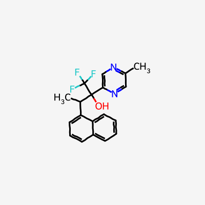 Cc1cnc(C(O)(C(C)c2cccc3ccccc23)C(F)(F)F)cn1